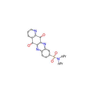 CCCN(CCC)S(=O)(=O)c1ccc2nc3c(nc2c1)C(=O)c1ncccc1C3=O